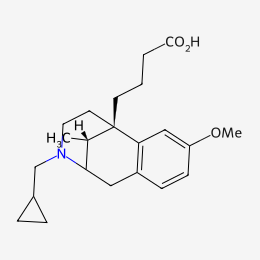 COc1ccc2c(c1)[C@@]1(CCCC(=O)O)CCN(CC3CC3)C(C2)[C@@H]1C